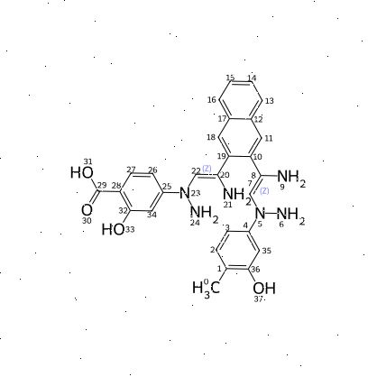 Cc1ccc(N(N)/C=C(\N)c2cc3ccccc3cc2/C(N)=C/N(N)c2ccc(C(=O)O)c(O)c2)cc1O